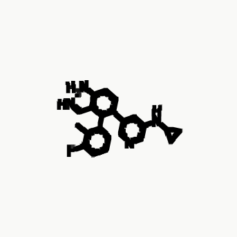 Cc1c(F)cccc1-c1c(-c2cncc(NC3CC3)c2)ccc(N)c1C=N